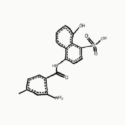 Cc1ccc(C(=O)Nc2ccc(S(=O)(=O)O)c3c(O)cccc23)c(N)c1